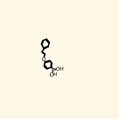 OB(O)c1ccc(OCCc2ccccc2)cc1